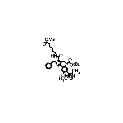 COC(=O)CCCCCNC(=O)c1c2c(nn1Cc1ccccc1)-c1cc(OC)c(-c3c(C)noc3C)cc1N(C(=O)OC(C)(C)C)C2